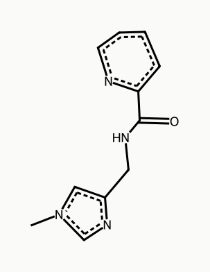 Cn1cnc(CNC(=O)c2ccccn2)c1